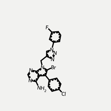 Nc1ncnc2c1c(-c1ccc(Cl)cc1)c(Br)n2Cc1cn(-c2cccc(F)c2)nn1